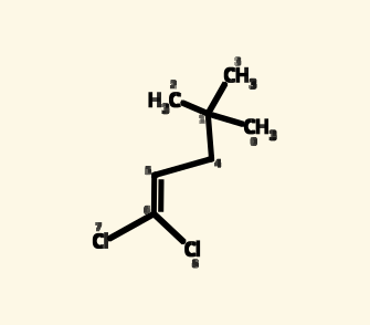 CC(C)(C)CC=C(Cl)Cl